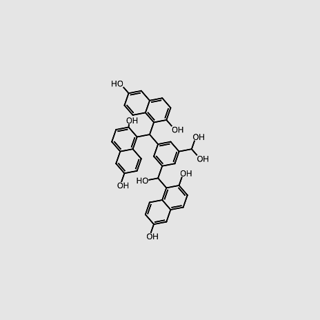 Oc1ccc2c(C(O)c3cc(C(O)O)cc(C(c4c(O)ccc5cc(O)ccc45)c4c(O)ccc5cc(O)ccc45)c3)c(O)ccc2c1